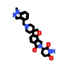 Cn1ncc2c(CN3CCC4(CC3)COc3c4ccc4c3CN(C3CCC(=O)NC3=O)C4=O)cccc21